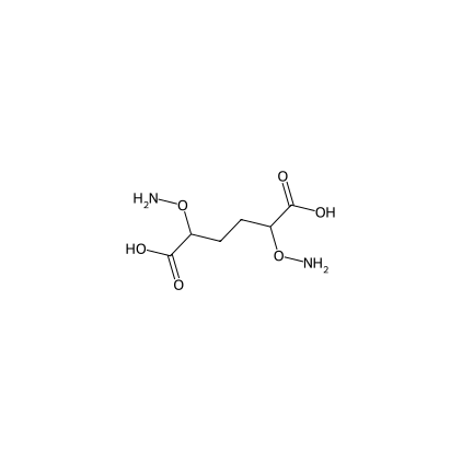 NOC(CCC(ON)C(=O)O)C(=O)O